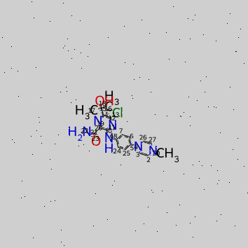 CN1C=CN(c2ccc(Nc3nc(Cl)c(C(C)(C)O)nc3C(N)=O)cc2)C=C1